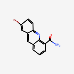 NC(=O)c1cccc2cc3cc(Br)ccc3nc12